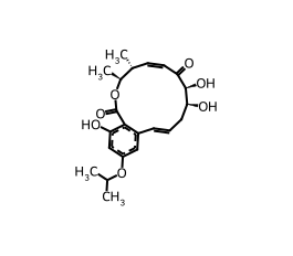 CC(C)Oc1cc(O)c2c(c1)/C=C/C[C@H](O)[C@H](O)C(=O)/C=C\[C@@H](C)[C@H](C)OC2=O